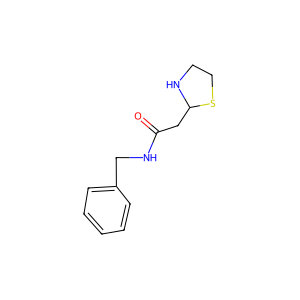 O=C(CC1NCCS1)NCc1ccccc1